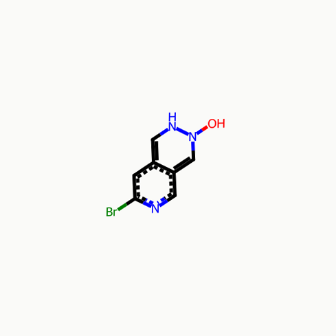 ON1C=c2cnc(Br)cc2=CN1